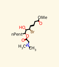 CCCCCC(OC(=O)CN(C)C)C(O)C(Br)/C=C/CC(=O)OC